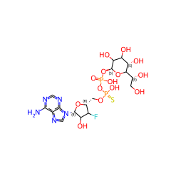 Nc1ncnc2c1ncn2[C@@H]1O[C@H](COP(O)(=S)OP(=O)(O)O[C@@H]2OC([C@H](O)CO)[C@@H](O)C(O)C2O)C(F)C1O